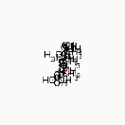 CO[C@@H]([C@H]1C[C@@H](C)[C@H]2[C@H](O1)[C@H](O)[C@@]1(C)[C@@H]3CC[C@H]4C(C)(C)[C@@H](O[C@@H]5OC[C@@H](O)[C@H](O)[C@H]5O)CC[C@@]45C[C@@]35CC[C@]21C)C(C)(C)O